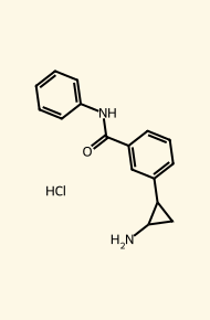 Cl.NC1CC1c1cccc(C(=O)Nc2ccccc2)c1